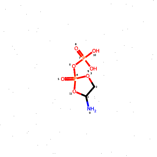 NC1COP(=O)(OP(=O)(O)O)O1